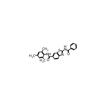 Cc1cc(C)c(NC(=O)c2ccc3nc(NC(=O)c4ccccc4)sc3c2)c(C)c1